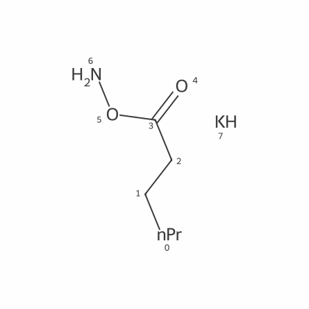 CCCCCC(=O)ON.[KH]